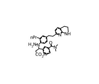 CCCc1cc(CCc2ccc3c(n2)NCCC3)ccc1N(N)C(CC(=O)O)c1cccc(C(=O)N(C)C)c1